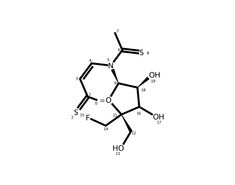 CC(=S)/C=C\N(C(C)=S)[C@@H]1O[C@@](CO)(CF)C(O)[C@@H]1O